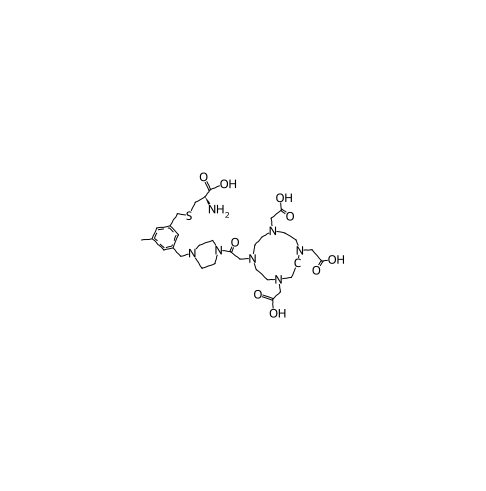 Cc1cc(CSC[C@H](N)C(=O)O)cc(CN2CCN(C(=O)CN3CCN(CC(=O)O)CCN(CC(=O)O)CCN(CC(=O)O)CC3)CC2)c1